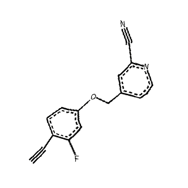 C#Cc1ccc(OCc2ccnc(C#N)c2)cc1F